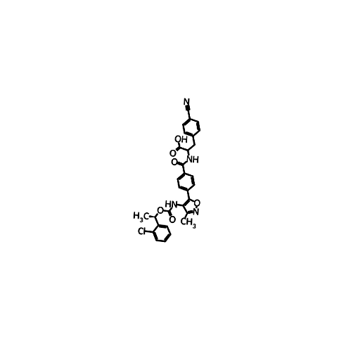 Cc1noc(-c2ccc(C(=O)NC(Cc3ccc(C#N)cc3)C(=O)O)cc2)c1NC(=O)O[C@H](C)c1ccccc1Cl